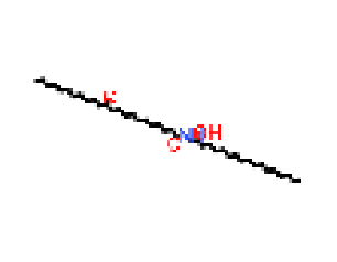 CCCCCCCCCCCCCCCCC(O)CNC(=O)CCCCCCCCCCC(=O)CCCCCCCCCCC